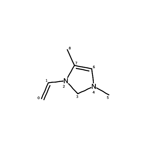 C=CN1CN(C)C=C1C